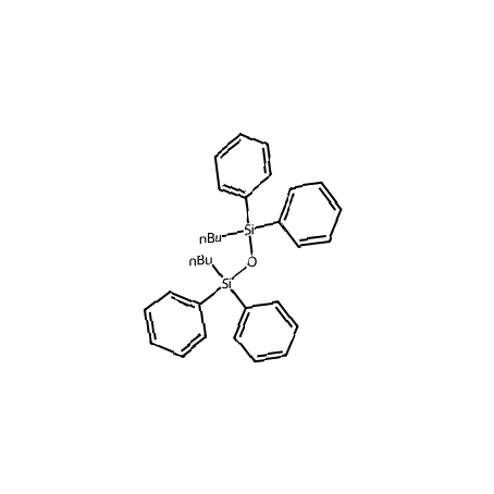 CCCC[Si](O[Si](CCCC)(c1ccccc1)c1ccccc1)(c1ccccc1)c1ccccc1